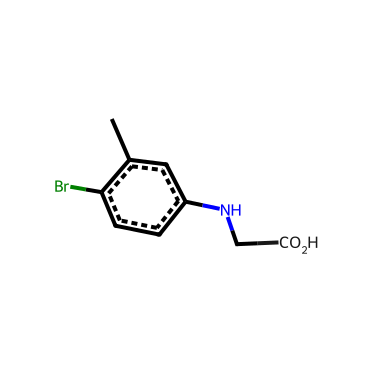 Cc1cc(NCC(=O)O)ccc1Br